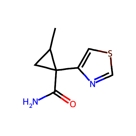 CC1CC1(C(N)=O)c1cscn1